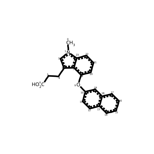 Cn1cc(CCC(=O)O)c2c(Oc3ccc4ccccc4c3)cccc21